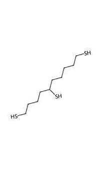 SCCCCCC(S)CCCCS